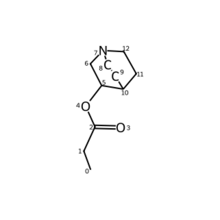 CCC(=O)OC1CN2CCC1CC2